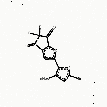 CCCCCCc1cc(Br)sc1-c1cc2c(s1)C(=O)C(F)(F)C2=O